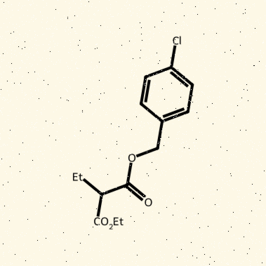 CCOC(=O)C(CC)C(=O)OCc1ccc(Cl)cc1